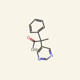 COC(=O)C(C)(c1ccccc1)c1cncnc1